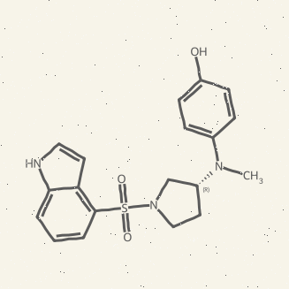 CN(c1ccc(O)cc1)[C@@H]1CCN(S(=O)(=O)c2cccc3[nH]ccc23)C1